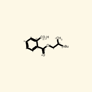 CCCCC(C)COC(=O)c1ccccc1C(=O)O